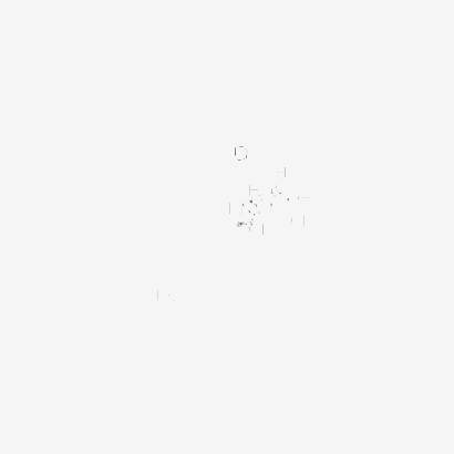 CCCCCCCCCCCCCC[C@@H](O)[C@@H](O)[C@H](COC1OC(CO)C(O)C(O)[C@@H]1O)NC(=O)CCCCCc1ccccc1